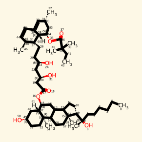 CCCCCC[C@](C)(O)[C@H]1CCC2C3C[C@H](OC(=O)C[C@H](O)C[C@H](O)CC[C@@H]4[C@@H]5C(=C[C@H](C)C[C@@H]5OC(=O)C(C)(C)CC)C=C[C@@H]4C)[C@H]4C[C@@H](O)CC[C@]4(C)C3CC[C@@]21C